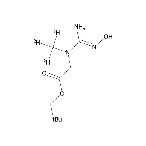 [2H]C([2H])([2H])N(CC(=O)OCC(C)(C)C)C(N)=NO